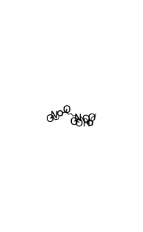 CCOc1ccccc1OCCN(CCCCC(=O)c1ccc2c(c1)CCC(=O)N2C)C(=O)O